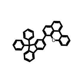 c1ccc(C2(c3ccccc3)c3ccccc3-c3ccc(-c4ccc5cccc6c5c4Oc4ccccc4-6)cc32)cc1